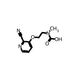 CN(CCOc1cccnc1C#N)C(=O)O